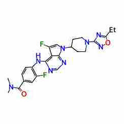 CCc1nc(N2CCC(n3cc(F)c4c(Nc5ccc(C(=O)N(C)C)cc5F)ncnc43)CC2)no1